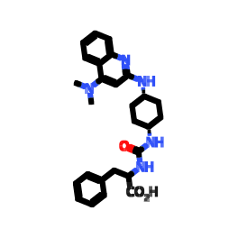 CN(C)c1cc(N[C@H]2CC[C@@H](NC(=O)NC(Cc3ccccc3)C(=O)O)CC2)nc2ccccc12